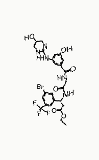 CCOC(=O)C[C@H](NC(=O)CNC(=O)c1cc(O)cc(NC2=NCC(O)CN2)c1)c1cc(Br)cc(C(F)(F)F)c1